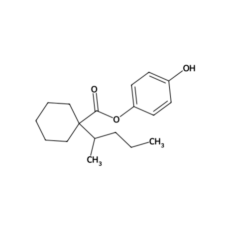 CCCC(C)C1(C(=O)Oc2ccc(O)cc2)CCCCC1